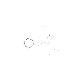 CCO.CCOC(NCc1ccccc1)(OCC)P(=O)(O)O